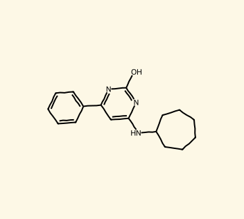 Oc1nc(NC2CCCCCC2)cc(-c2ccccc2)n1